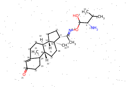 C/C(=N\OC(O)[C@@H](N)C(C)C)[C@H]1CC[C@H]2[C@@H]3CCC4=CC(=O)CC[C@]4(C)[C@H]3CC[C@]12C